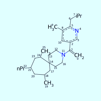 C=C(c1cnc(CC(C)C)c(C)c1)N1CCC2(CC1)CC(C)CC(CCC)CC2C